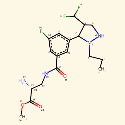 CCCN1NCC(C(F)F)C1c1cc(F)cc(C(=O)NC[C@@H](N)C(=O)OC)c1